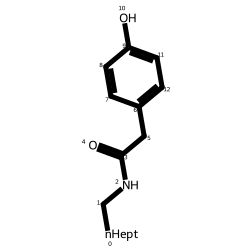 CCCCCCCCNC(=O)Cc1ccc(O)cc1